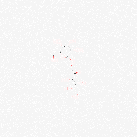 O=C(COC1O[C@H](CO)[C@@H](O)[C@H](O)[C@H]1O)[C@@H](O)[C@@H](O)[C@H](O)CO